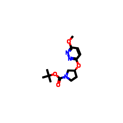 COc1ccc(O[C@H]2CCN(C(=O)OC(C)(C)C)C2)nn1